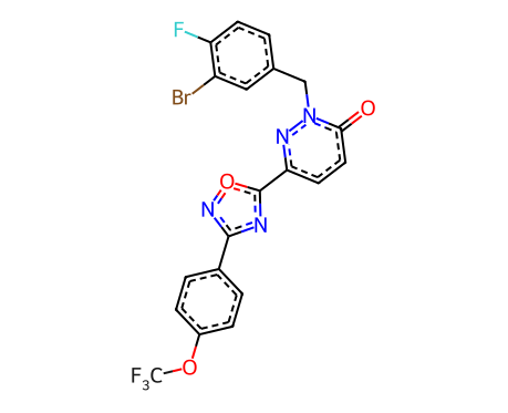 O=c1ccc(-c2nc(-c3ccc(OC(F)(F)F)cc3)no2)nn1Cc1ccc(F)c(Br)c1